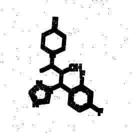 C=C1CCN(C(C)C(O)C(c2ccc(F)cc2F)n2cncn2)CC1